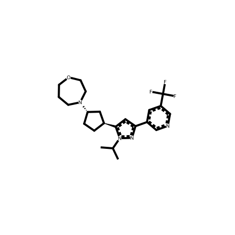 CC(C)n1nc(-c2cncc(C(F)(F)F)c2)cc1[C@H]1CC[C@H](N2CCCOCC2)C1